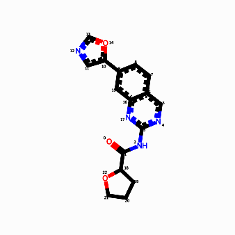 O=C(Nc1ncc2ccc(-c3cnco3)cc2n1)C1CCCO1